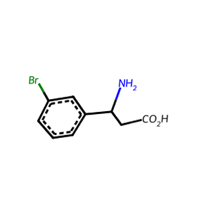 NC(CC(=O)O)c1cccc(Br)c1